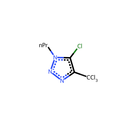 CCCn1nnc(C(Cl)(Cl)Cl)c1Cl